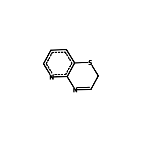 C1=Nc2ncccc2SC1